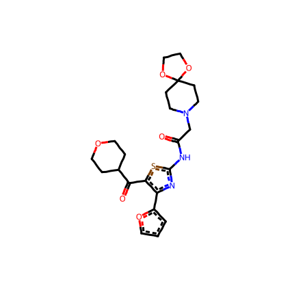 O=C(CN1CCC2(CC1)OCCO2)Nc1nc(-c2ccco2)c(C(=O)C2CCOCC2)s1